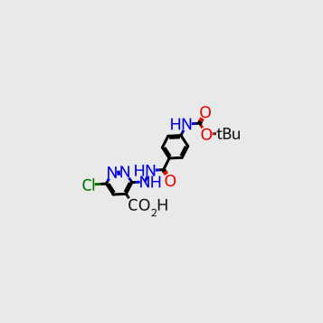 CC(C)(C)OC(=O)Nc1ccc(C(=O)NNc2nnc(Cl)cc2C(=O)O)cc1